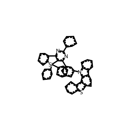 c1ccc(-c2nc(-c3cccc(-n4c5ccccc5c5ccc6sc7ccccc7c6c54)c3)c3c(n2)-c2ccccc2[Si]3(c2ccccc2)c2ccccc2)cc1